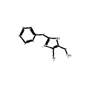 OCc1[nH]c(Cc2ccccc2)nc1Br